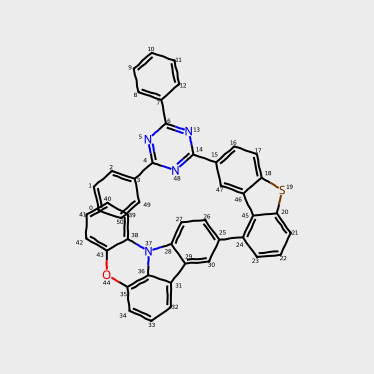 c1ccc(-c2nc(-c3ccccc3)nc(-c3ccc4sc5cccc(-c6ccc7c(c6)c6cccc8c6n7-c6ccccc6O8)c5c4c3)n2)cc1